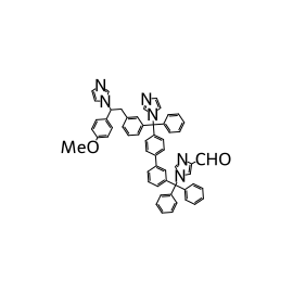 COc1ccc(C(Cc2cccc(C(c3ccccc3)(c3ccc(-c4cccc(C(c5ccccc5)(c5ccccc5)n5cnc(C=O)c5)c4)cc3)n3ccnc3)c2)n2ccnc2)cc1